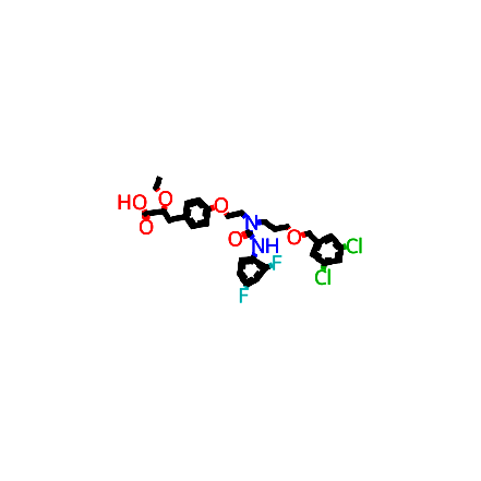 CCOC(Cc1ccc(OCCN(CCCOCc2cc(Cl)cc(Cl)c2)C(=O)Nc2ccc(F)cc2F)cc1)C(=O)O